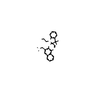 CCN(CC)Cc1cc2ccccc2c2c1OC1(C=N2)N(CCO)c2ccccc2C1(C)C